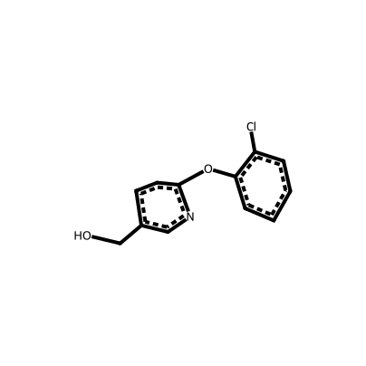 OCc1ccc(Oc2ccccc2Cl)nc1